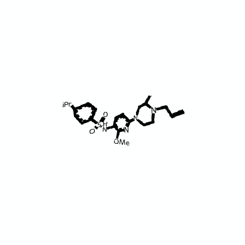 C=CCN1CCN(c2ccc(NS(=O)(=O)c3ccc(C(C)C)cc3)c(OC)n2)CC1C